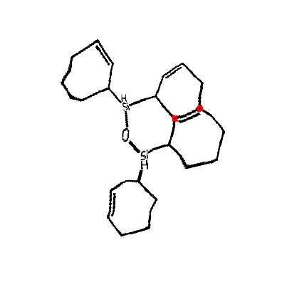 C1=CC([SiH](O[SiH](C2C=CCCC2)C2C=CCCC2)C2C=CCCC2)CCC1